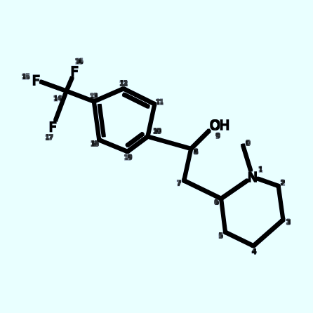 CN1CCCCC1CC(O)c1ccc(C(F)(F)F)cc1